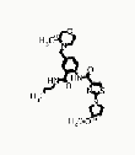 CCCNC(=O)c1cc(CN2CCOC[C@@H]2C)ccc1NC(=O)c1csc(N2CC[C@H](OC)C2)n1